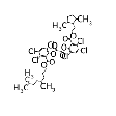 CC(C)CCC(C)CCCOC(=O)c1c(Cl)c(Cl)cc(Cl)c1OC(=O)C(=O)Oc1c(Cl)cc(Cl)c(Cl)c1C(=O)OCCC1C(C)CCC1C